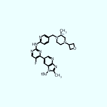 Cc1nc2ncc(-c3nc(Nc4ccc(CN5CCN(C6COC6)C[C@@H]5C)cn4)ncc3F)cc2n1C(C)(C)C